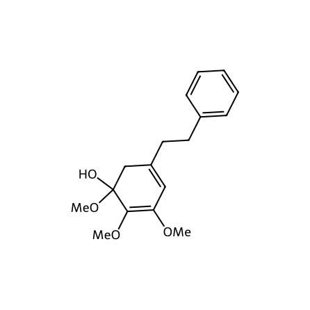 COC1=C(OC)C(O)(OC)CC(CCc2ccccc2)=C1